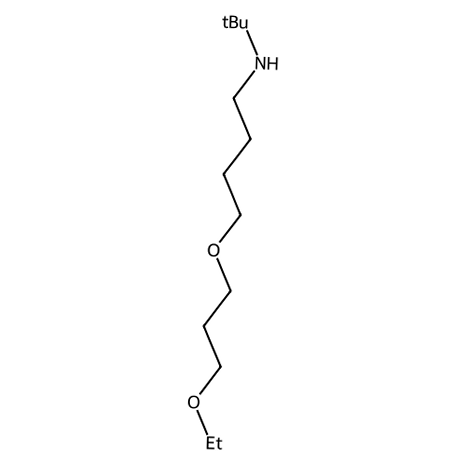 CCOCCCOCCCCNC(C)(C)C